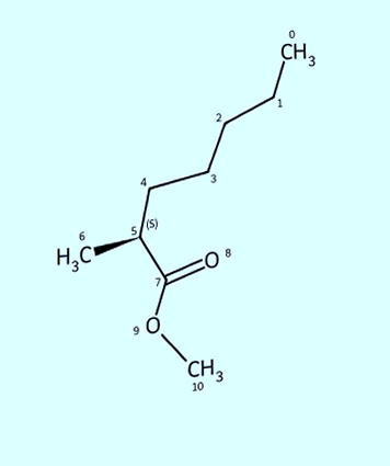 CCCCC[C@H](C)C(=O)OC